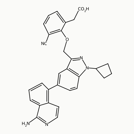 N#Cc1cccc(CC(=O)O)c1OCc1nn(C2CCC2)c2ccc(-c3cccc4c(N)nccc34)cc12